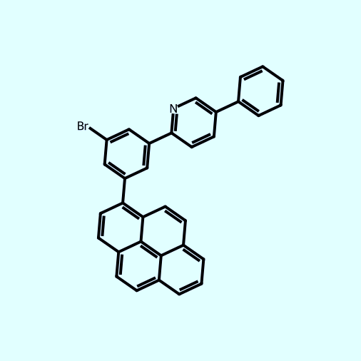 Brc1cc(-c2ccc(-c3ccccc3)cn2)cc(-c2ccc3ccc4cccc5ccc2c3c45)c1